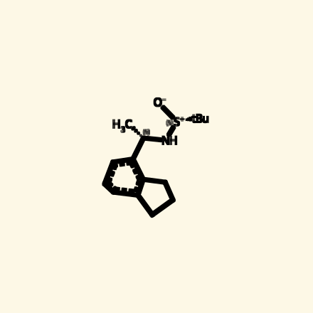 C[C@H](N[S@+]([O-])C(C)(C)C)c1cccc2c1CCC2